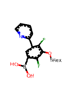 CCCCCCOc1c(F)c(B(O)O)cc(-c2ccccn2)c1F